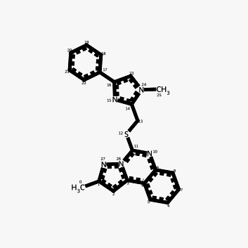 Cc1cc2c3ccccc3nc(SCc3nc(-c4ccccc4)cn3C)n2n1